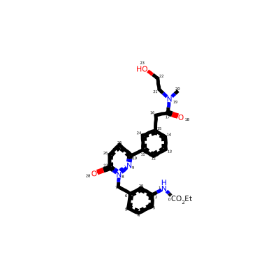 CCOC(=O)Nc1cccc(Cn2nc(-c3cccc(CC(=O)N(C)CCO)c3)ccc2=O)c1